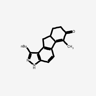 CCCCc1n[nH]c2ccc3c(c12)CC1CCC(=O)C(C)=C31